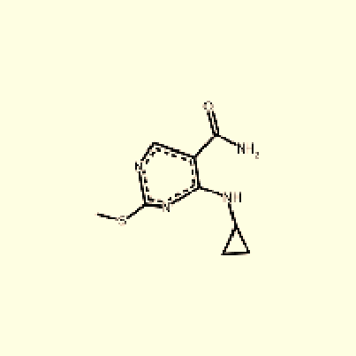 CSc1ncc(C(N)=O)c(NC2CC2)n1